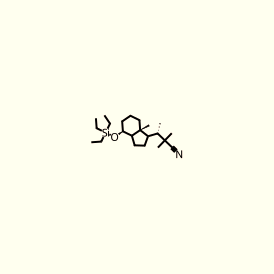 CC[Si](CC)(CC)O[C@H]1CCC[C@@]2(C)C1CCC2[C@H](C)C(C)(C)C#N